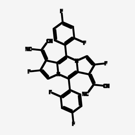 N#CC(C#N)=c1c(F)cn2c(-c3ccc(F)cc3F)c3c(=C(C#N)C#N)c(F)cn3c(-c3ccc(F)cc3F)c12